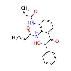 C=CC(=O)Nc1cccc(C(=O)C(O)c2ccccc2)c1NC(=O)C=C